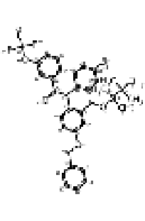 CC(C)(C)[Si](C)(C)OCc1cc(OCc2ccccc2)ccc1C(C(=O)c1cccc(OC(F)(F)F)c1)c1ccc(Br)cc1